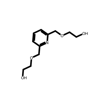 OCCOCc1cccc(COCCO)n1